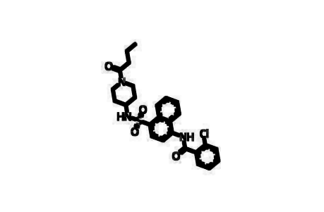 CCCC(=O)N1CCC(NS(=O)(=O)c2ccc(NC(=O)c3ccccc3Cl)c3ccccc23)CC1